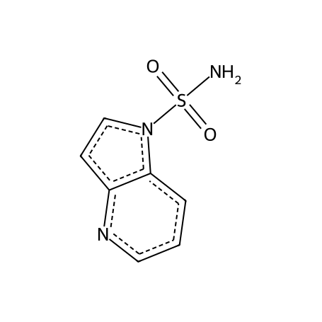 NS(=O)(=O)n1ccc2ncccc21